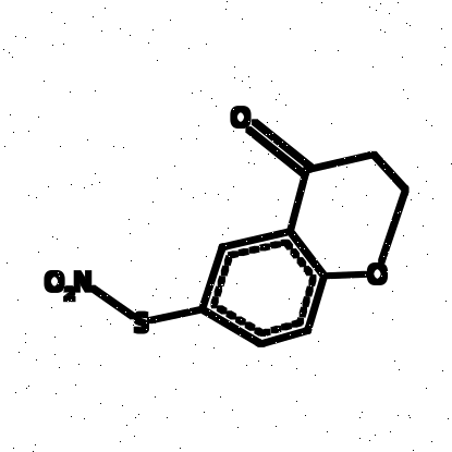 O=C1CCOc2ccc(S[N+](=O)[O-])cc21